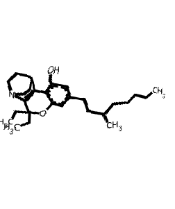 CCCCCC(C)CCc1cc(O)c2c(c1)OC(CC)(CC)C1=C2C2CCN1CC2